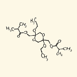 CCOC1(COC(=O)C(C)C)COC(COC(=O)C(C)C)(OCC)CO1